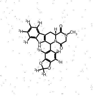 [2H]c1c([2H])c(C2c3[nH]c4c([2H])c([2H])c([2H])c([2H])c4c3C[C@@H]3C(=O)N(C)CC(=O)N23)c([2H])c2c1OC([2H])([2H])O2